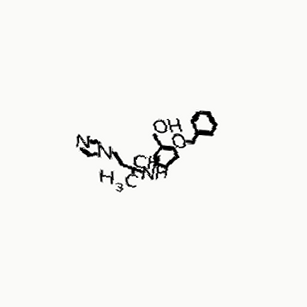 CC(C)(CCn1ccnc1)Nc1ccc(OCc2ccccc2)c(CO)c1